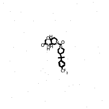 CC(C)(c1ccc(C(F)(F)F)cc1)C1CCN(C(=O)N2CC[C@@H]3OCC(=O)N[C@@H]3C2)CC1